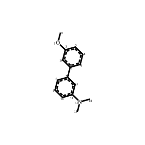 COc1cc[c]c(-c2cccc(N(C)C)c2)c1